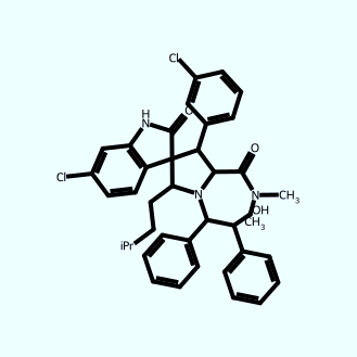 CC(C)CCC1N(C(c2ccccc2)C(O)c2ccccc2)C(C(=O)N(C)C)C(c2cccc(Cl)c2)C12C(=O)Nc1cc(Cl)ccc12